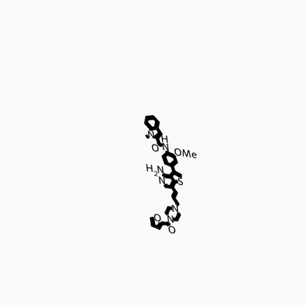 COc1cc(-c2csc3c(C=CCN4CCN(C(=O)c5ccco5)CC4)cnc(N)c23)ccc1NC(=O)c1cc2ccccc2n1C